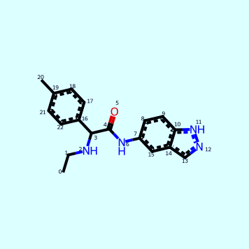 CCNC(C(=O)Nc1ccc2[nH]ncc2c1)c1ccc(C)cc1